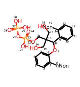 CCCCCCCCCc1ccccc1OC(c1ccccc1CCCCCCCCC)C(CO)(CO)COP(=O)(O)OP(=O)(O)O